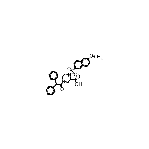 COc1ccc2cc(S(=O)(=O)N3CCN(C(=O)C(c4ccccc4)c4ccccc4)CC3C(=O)O)ccc2c1